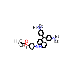 C=C(C)C(=O)OC1CCC(Nc2ccc(C(=C3C=CC(=[N+](CC)CC)C=C3)c3ccc(N(CC)CC)cc3)c3c2CC=CC3)CC1